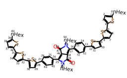 CCCCCCc1ccc(-c2ccc(-c3ccc(-c4ccc(C5=C6C(=O)N(CCCCCC)C(c7ccc(-c8ccc(-c9ccc(-c%10ccc(CCCCCC)s%10)s9)s8)cc7)=C6C(=O)N5CCCCCC)cc4)s3)s2)s1